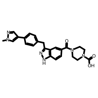 Cn1cc(-c2ccc(Cc3n[nH]c4ccc(C(=O)N5CCN(C(=O)O)CC5)cc34)cc2)cn1